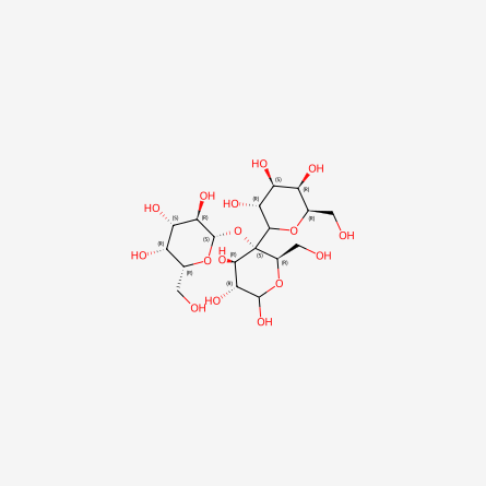 OC[C@H]1O[C@@H](O[C@@]2(C3O[C@H](CO)[C@H](O)[C@H](O)[C@H]3O)[C@H](O)[C@@H](O)C(O)O[C@@H]2CO)[C@H](O)[C@@H](O)[C@H]1O